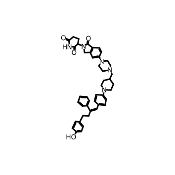 O=C1CCC(N2Cc3cc(N4CCN(CC5CCN(c6ccc(C=C(CCc7ccc(O)cc7)c7ccccc7)cc6)CC5)CC4)ccc3C2=O)C(=O)N1